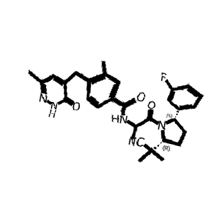 Cc1cc(Cc2ccc(C(=O)NC(C)C(=O)N3[C@H](c4cccc(F)c4)CC[C@@H]3C(C)(C)C#N)cc2C)c(=O)[nH]n1